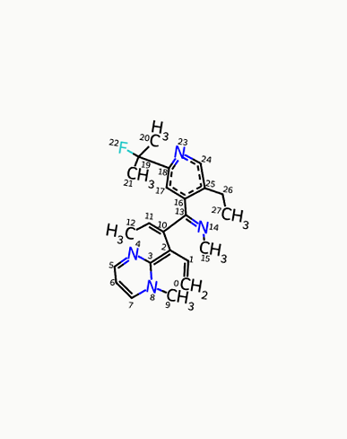 C=CC(=C1/N=CC=CN1C)/C(=C\C)C(=N\C)/c1cc(C(C)(C)F)ncc1CC